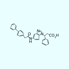 O=C(O)CC(c1ccccc1)n1cnc2cc(NC(=O)Cc3ccc(-c4ccccc4)cc3)ccc21